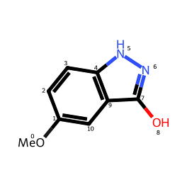 COc1ccc2[nH]nc(O)c2c1